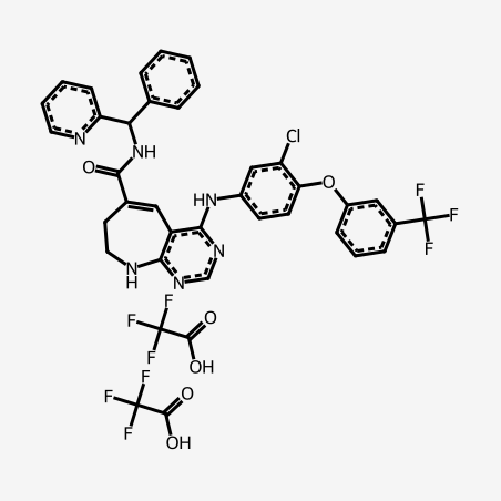 O=C(NC(c1ccccc1)c1ccccn1)C1=Cc2c(ncnc2Nc2ccc(Oc3cccc(C(F)(F)F)c3)c(Cl)c2)NCC1.O=C(O)C(F)(F)F.O=C(O)C(F)(F)F